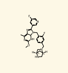 COC1=NC(C)=C2N=C(c3cncc(F)c3)N(Cc3ccc(CN4C[C@@H]5C[C@H]4CN5)cc3F)C2N1